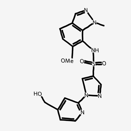 COc1ccc2cnn(C)c2c1NS(=O)(=O)c1cnn(-c2cc(CO)ccn2)c1